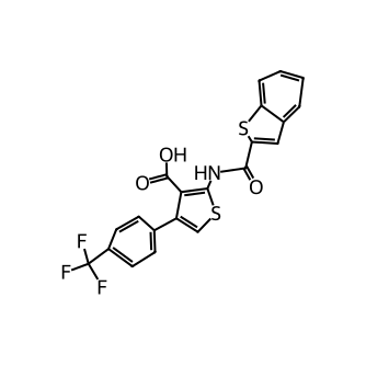 O=C(Nc1scc(-c2ccc(C(F)(F)F)cc2)c1C(=O)O)c1cc2ccccc2s1